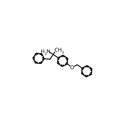 CC(N)(Cc1ccccc1)c1ccc(OCc2ccccc2)cc1